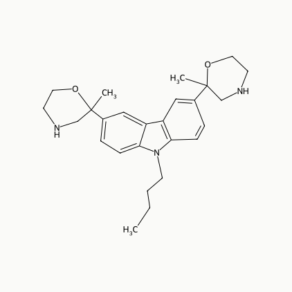 CCCCn1c2ccc(C3(C)CNCCO3)cc2c2cc(C3(C)CNCCO3)ccc21